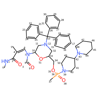 CNC(=O)/C(C)=C\N(C=O)C1CN(C(c2ccccc2)(c2ccccc2)c2ccccc2)CC(COP(C)(=O)N2CCC(N3CCCCC3)CC2)O1